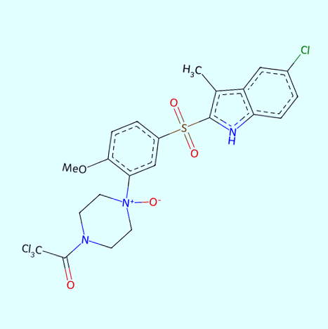 COc1ccc(S(=O)(=O)c2[nH]c3ccc(Cl)cc3c2C)cc1[N+]1([O-])CCN(C(=O)C(Cl)(Cl)Cl)CC1